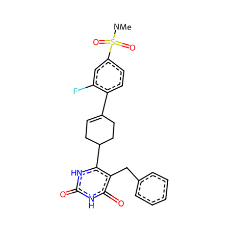 CNS(=O)(=O)c1ccc(C2=CCC(c3[nH]c(=O)[nH]c(=O)c3Cc3ccccc3)CC2)c(F)c1